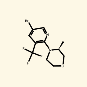 C[C@H]1COCCN1c1ncc(Br)cc1C(F)(F)F